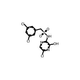 O=S(=O)(Cc1cc(Cl)cc(Cl)c1)Nc1ncc(Cl)nc1O